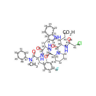 CN(C(=O)C(Cc1ccc(F)cc1)NC(=O)C(Cc1c[nH]c2ccccc12)NC(=O)[C@@H]1CCCCN1C(=O)C(CCC(=O)O)NC(=O)CCl)c1ccccc1